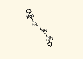 O=S(=O)(NCCCNCCCCNCCCNS(=O)(=O)c1ccccc1)c1ccccc1